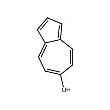 Oc1ccc2cccc-2cc1